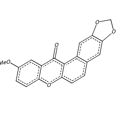 COc1ccc2oc3ccc4cc5c(cc4c3c(=O)c2c1)OCO5